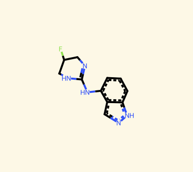 FC1CN=C(Nc2cccc3[nH]ncc23)NC1